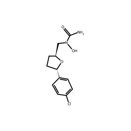 NC(=O)N(O)C[C@@H]1CC[C@@H](c2ccc(Cl)cc2)O1